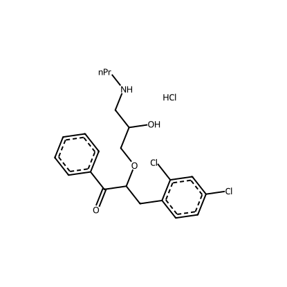 CCCNCC(O)COC(Cc1ccc(Cl)cc1Cl)C(=O)c1ccccc1.Cl